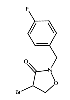 O=C1C(Br)CON1Cc1ccc(F)cc1